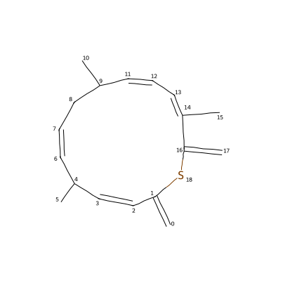 C=C1/C=C\C(C)/C=C\CC(C)/C=C\C=C(\C)C(=C)S1